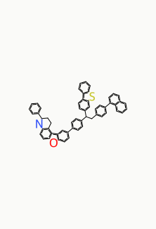 c1ccc(C2=Nc3ccc4oc5ccc(-c6ccc(C(Cc7ccc(-c8cccc9ccccc89)cc7)c7ccc8c(c7)sc7ccccc78)cc6)cc5c4c3CC2)cc1